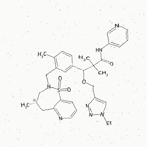 CCn1cc(COC(c2ccc(C)c(CN3C[C@@H](C)Cc4ncccc4S3(=O)=O)c2)C(C)(C)C(=O)Nc2cccnc2)nn1